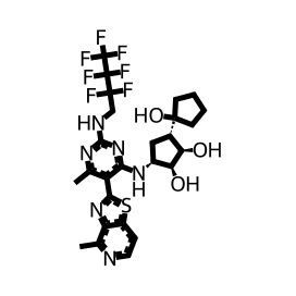 Cc1nc(NCC(F)(F)C(F)(F)C(F)(F)F)nc(N[C@@H]2C[C@H](C3(O)CCCC3)[C@@H](O)[C@H]2O)c1-c1nc2c(C)nccc2s1